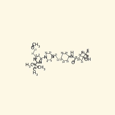 COCCc1cc(N2CCN(CC[C@H]3CC[C@H](NC(=O)C4CC(O)(C(F)(F)F)C4)CC3)CC2)nc(C(C)(C)C)n1